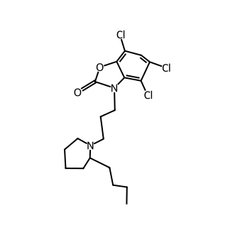 CCCCC1CCCCN1CCCn1c(=O)oc2c(Cl)cc(Cl)c(Cl)c21